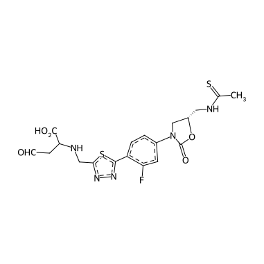 CC(=S)NC[C@H]1CN(c2ccc(-c3nnc(CNC(CC=O)C(=O)O)s3)c(F)c2)C(=O)O1